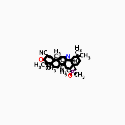 CC1(C)CC[C@]2(CP(C)(C)=O)CC[C@@]3(C)[C@]4(C)CC[C@H]5C(C)(C)C(=O)C(C#N)=C[C@]5(C)C4=CC4=N[C@]43[C@@H]2C1